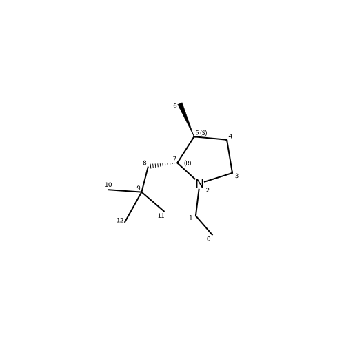 CCN1CC[C@H](C)[C@H]1CC(C)(C)C